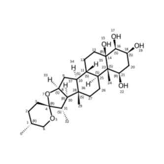 C[C@@H]1CC[C@@]2(OC1)O[C@H]1C[C@H]3[C@@H]4CC[C@]5(O)[C@@H](O)[C@@H](O)C[C@@H](O)[C@]5(C)[C@H]4CC[C@]3(C)[C@H]1[C@@H]2C